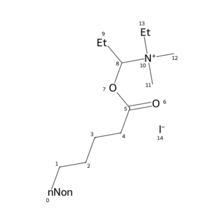 CCCCCCCCCCCCCC(=O)OC(CC)[N+](C)(C)CC.[I-]